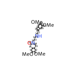 COc1cc2c(cc1OC)CC(=O)N(CCCNCC[C@@H]1Cc3cc(OC)c(OC)cc31)C=C2